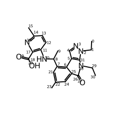 CCn1ncc2c3c(C(C)Nc4ccc(C)nc4C(=O)O)cc(C)cc3c(=O)n(CC)c21